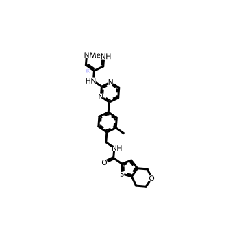 CN/C=C(\C=N)Nc1nccc(-c2ccc(CNC(=O)c3cc4c(s3)CCOC4)c(C)c2)n1